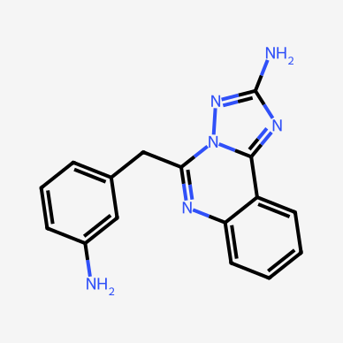 Nc1cccc(Cc2nc3ccccc3c3nc(N)nn23)c1